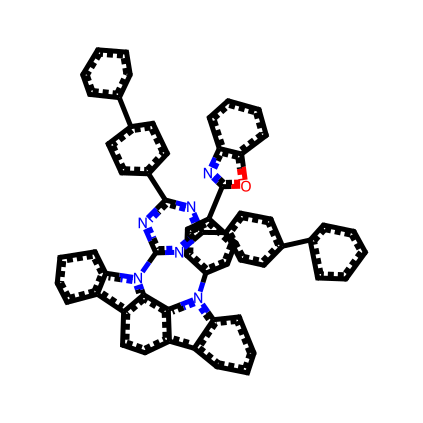 c1ccc(-c2ccc(-c3nc(-c4ccc(-c5ccccc5)cc4)nc(-n4c5ccccc5c5ccc6c7ccccc7n(-c7ccc(-c8nc9ccccc9o8)cc7)c6c54)n3)cc2)cc1